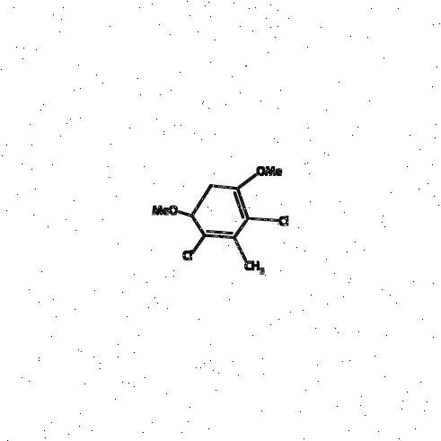 COC1=C(Cl)C(C)=C(Cl)C(OC)C1